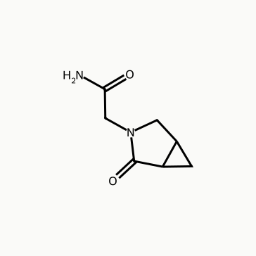 NC(=O)CN1CC2CC2C1=O